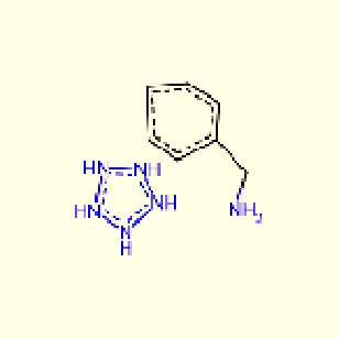 NCc1ccccc1.[nH]1[nH][nH][nH][nH]1